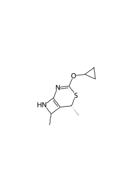 CC1NC2=C1[C@@H](C)SC(OC1CC1)=N2